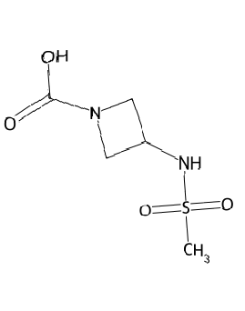 CS(=O)(=O)NC1CN(C(=O)O)C1